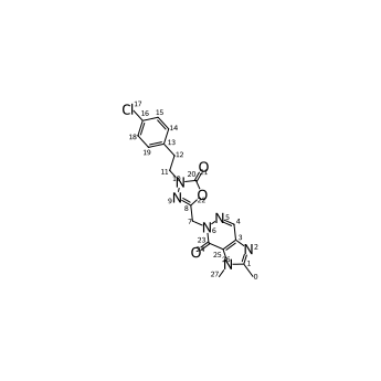 Cc1nc2cnn(Cc3nn(CCc4ccc(Cl)cc4)c(=O)o3)c(=O)c2n1C